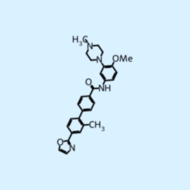 COc1ccc(NC(=O)c2ccc(-c3ccc(-c4ncco4)cc3C)cc2)cc1N1CCN(C)CC1